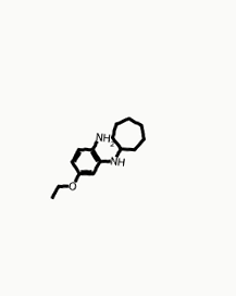 CCOc1ccc(N)c(NC2CCCCCC2)c1